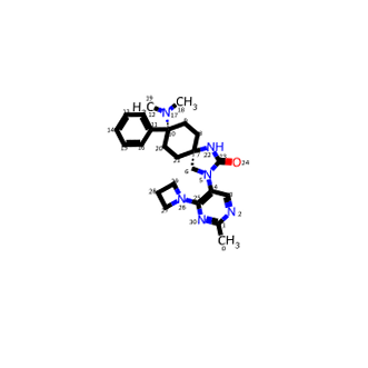 Cc1ncc(N2C[C@]3(CC[C@@](c4ccccc4)(N(C)C)CC3)NC2=O)c(N2CCC2)n1